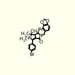 CC(C)C1C2C(=C(c3ccc(Br)cc3)N(C)C2(C)C)C(=O)N1Cc1ccc2c(c1)OCO2